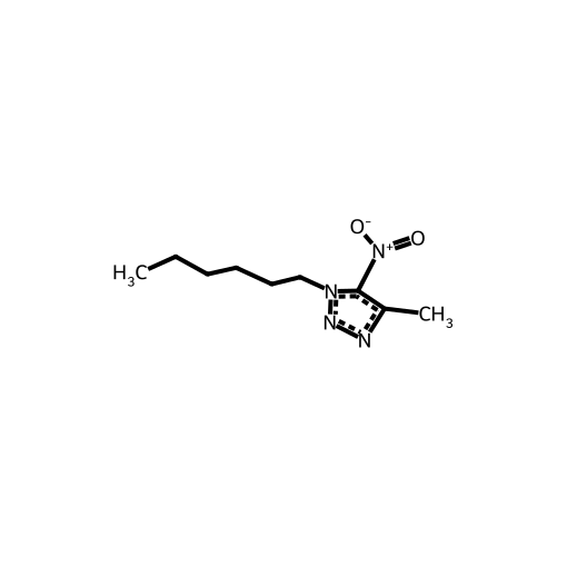 CCCCCCn1nnc(C)c1[N+](=O)[O-]